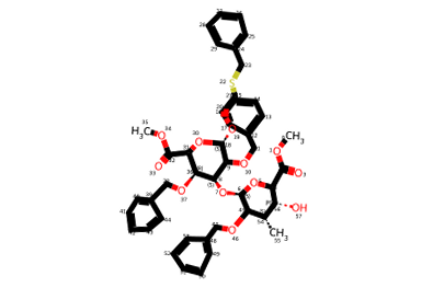 COC(=O)C1O[C@H](O[C@@H]2C(OCc3ccccc3)[C@@H](OCCSCc3ccccc3)OC(C(=O)OC)[C@@H]2OCc2ccccc2)C(OCc2ccccc2)[C@@H](C)[C@H]1O